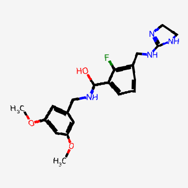 COc1cc(CNC(O)c2cccc(CNC3=NCCN3)c2F)cc(OC)c1